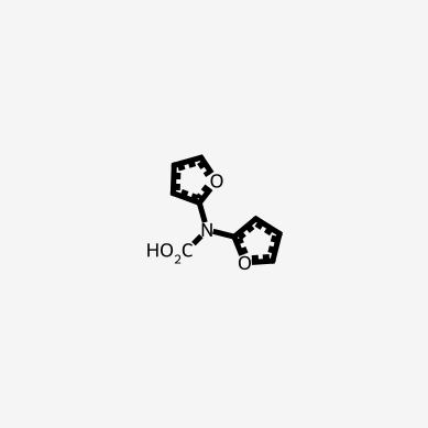 O=C(O)N(c1ccco1)c1ccco1